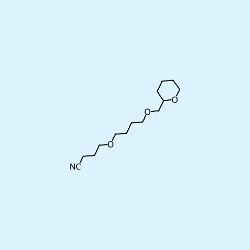 N#CCCCOCCCCOCC1CCCCO1